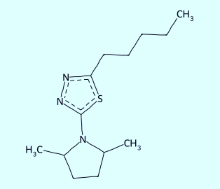 CCCCCc1nnc(N2C(C)CCC2C)s1